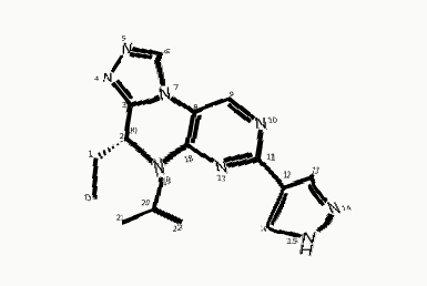 CC[C@@H]1c2nncn2-c2cnc(-c3cn[nH]c3)nc2N1C(C)C